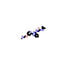 CN(C)CCOc1ccnc(-c2nc3c(c(N(C)CC(=O)NC4CC4)n2)CCC3)c1